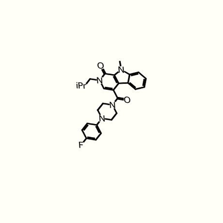 CC(C)Cn1cc(C(=O)N2CCN(c3ccc(F)cc3)CC2)c2c3ccccc3n(C)c2c1=O